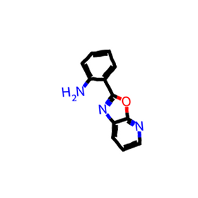 Nc1ccccc1-c1nc2cccnc2o1